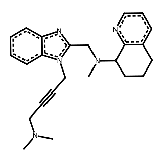 CN(C)CC#CCn1c(CN(C)C2CCCc3cccnc32)nc2ccccc21